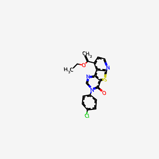 C=C(OCC)c1ccnc2sc3c(=O)n(-c4ccc(Cl)cc4)cnc3c12